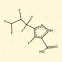 O=C(O)c1[nH]nc(C(F)(F)C(F)C(F)F)c1F